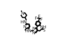 Cc1nc(NCC2CCN(C)CC2)ccc1Nc1ncc2c(n1)-c1ccc(C(F)(F)F)cc1NC(=S)C2